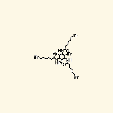 CC(C)CCCCCC(=O)Nc1c(C(C)C)c(NC(=O)CCCCCC(C)C)c(C(C)C)c(NC(=O)CCCCCC(C)C)c1C(C)C